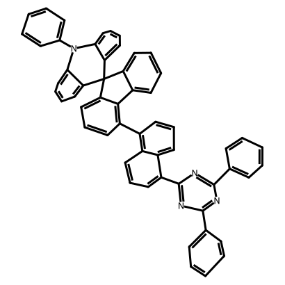 c1ccc(-c2nc(-c3ccccc3)nc(-c3cccc4c(-c5cccc6c5-c5ccccc5C65c6ccccc6N(c6ccccc6)c6ccccc65)cccc34)n2)cc1